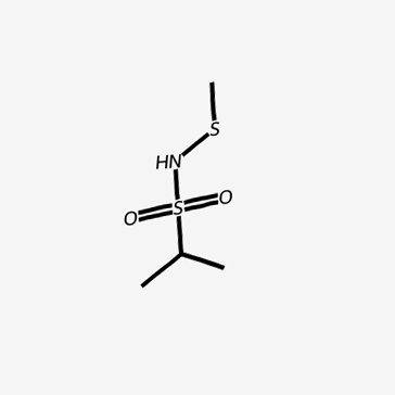 CSNS(=O)(=O)C(C)C